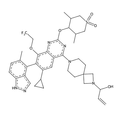 C=CC(O)N1CC2(CCN(c3nc(OC4C(C)CS(=O)(=O)CC4C)nc4c(OCC(F)(F)F)c(-c5c(C)ccc6[nH]ncc56)c(C5CC5)cc34)CC2)C1